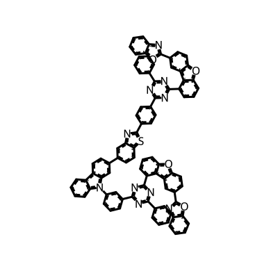 c1ccc(-c2nc(-c3ccc(-c4nc5cc(-c6ccc7c8ccccc8n(-c8cccc(-c9nc(-c%10ccccc%10)nc(-c%10cccc%11oc%12ccc(-c%13nc%14ccccc%14o%13)cc%12c%10%11)n9)c8)c7c6)ccc5s4)cc3)nc(-c3cccc4oc5ccc(-c6nc7ccccc7o6)cc5c34)n2)cc1